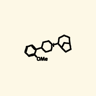 COc1ccccc1C1CCN(C2CCCC3CCC2C3)CC1